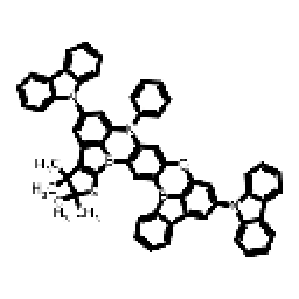 CC1(C)SC2=C(c3cc(-n4c5ccccc5c5ccccc54)cc4c3B2c2cc3c(cc2N4c2ccccc2)Oc2cc(-n4c5ccccc5c5ccccc54)cc4c2B3c2ccccc2-4)C1(C)C